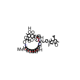 CO[C@H]1/C=C/O[C@@]2(C)Oc3c(C)c(O)c4c(c3C2=O)C(=O)C(N2CCC(C(=O)NCC3CCN(c5c(F)cn6c(=O)c(C)cc(C7CC7)c6c5C)C3)CC2)=C(NC(=O)/C(C)=C\C=C\[C@H](C)[C@H](O)[C@@H](C)[C@@H](O)[C@@H](C)[C@H](OC(C)=O)[C@@H]1C)C4=O